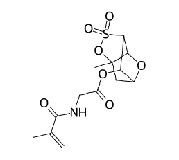 C=C(C)C(=O)NCC(=O)OC1C2CC3(C)OS(=O)(=O)C1C3O2